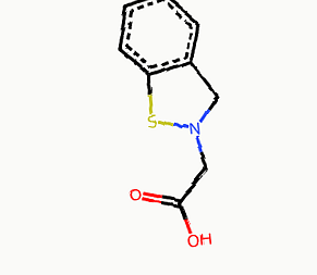 O=C(O)CN1Cc2ccccc2S1